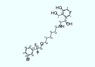 OCc1c(O)cccc1C(O)CNCCCCCCOCC(F)(F)c1cccc(Br)c1